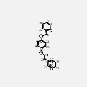 c1ccc(COc2ccc(OCCC3CN4CCC3CC4)cc2)cc1